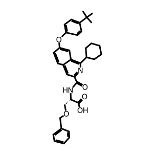 CC(C)(C)c1ccc(Oc2ccc3cc(C(=O)N[C@@H](COCc4ccccc4)C(=O)O)nc(C4CCCCC4)c3c2)cc1